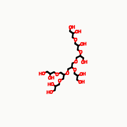 OCC(O)COCC(O)COC(CO)COCC(COC(COCC(O)CO)COCC(O)CO)OCC(O)CO